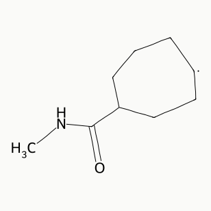 CNC(=O)C1CC[CH]CCC1